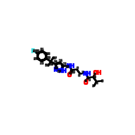 CC(C)C(O)C(=O)NCCC(=O)Nc1cc(C(C)(C)c2ccc(F)cc2)n[nH]1